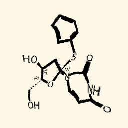 O=c1ccn([C@@]2(Sc3ccccc3)C[C@H](O)[C@@H](CO)O2)c(=O)[nH]1